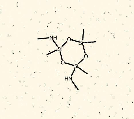 CN[Si]1(C)O[Si](C)(C)O[Si](C)(NC)O1